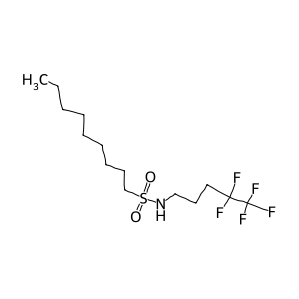 CCCCCCCCCS(=O)(=O)NCCCC(F)(F)C(F)(F)F